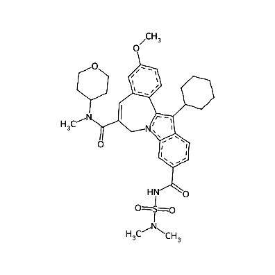 COc1ccc2c(c1)C=C(C(=O)N(C)C1CCOCC1)Cn1c-2c(C2CCCCC2)c2ccc(C(=O)NS(=O)(=O)N(C)C)cc21